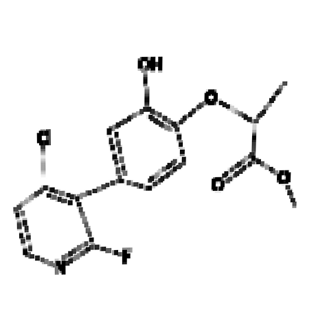 COC(=O)C(C)Oc1ccc(-c2c(Cl)ccnc2F)cc1O